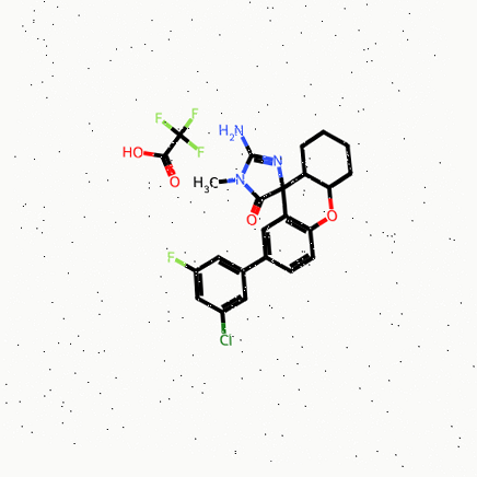 CN1C(=O)C2(N=C1N)c1cc(-c3cc(F)cc(Cl)c3)ccc1OC1CCCCC12.O=C(O)C(F)(F)F